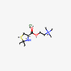 CC1(C)N[C@H](C(=O)OCC[N+](C)(C)C)CS1.[Cl-]